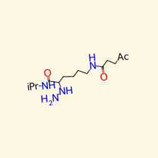 CC(=O)CCC(=O)NCCCCC(NN)C(=O)NC(C)C